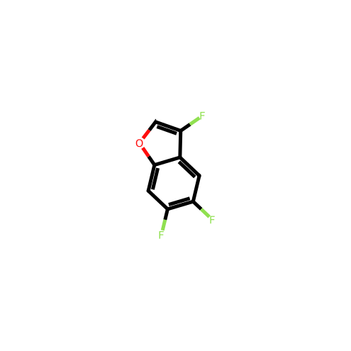 Fc1cc2o[c]c(F)c2cc1F